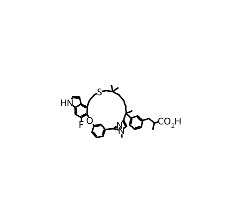 CC(Cc1cccc(C2(C)CCCC(C)(C)CSCCc3c(c(F)cc4[nH]ccc34)Oc3cccc(c3)-c3nc2cn3C)c1)C(=O)O